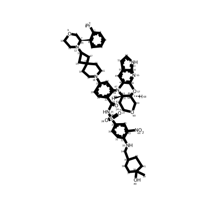 CC(C)c1ccccc1[C@@H]1COCCN1C1CC2(CCN(c3ccc(C(=O)NS(=O)(=O)c4ccc(NCC5CCC(C)(O)CC5)c([N+](=O)[O-])c4)c(N4c5cc6cc[nH]c6nc5O[C@H]5COCC[C@@H]54)c3)CC2)C1